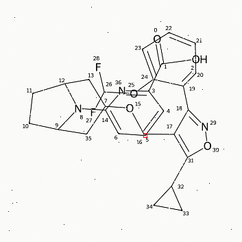 O=C(O)c1cccc(N2C3CCC2CC(OCc2c(-c4ccccc4OC(F)F)noc2C2CC2)C3)n1